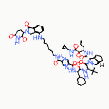 CCC[C@H](NC(=O)[C@@H]1C2CCC[C@H]2CN1C(=O)[C@@H](NC(=O)[C@@H](NC(=O)c1cnc(C(=O)NCCCCCCNc2cccc3c2CN(C2CCC(=O)NC2=O)C3=O)cn1)C1CCCCC1)C(C)(C)C)C(=O)C(=O)NC1CC1